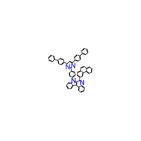 c1ccc(-c2ccc(-c3cc(-c4ccc(-c5ccccc5)cc4)nc(-c4ccc(-n5c6ccccc6c6c7ccccc7nc(-c7ccc8ccc9ccccc9c8c7)c65)cc4)n3)cc2)cc1